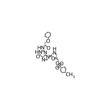 Cc1ccc(S(=O)(=O)OC[C@@H]2CNC[C@H](n3cnc4c(=O)[nH]c(NC(=O)COc5ccccc5)nc43)O2)cc1